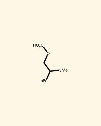 CCCC(COC(=O)O)SC